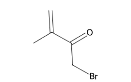 C=C(C)C(=O)CBr